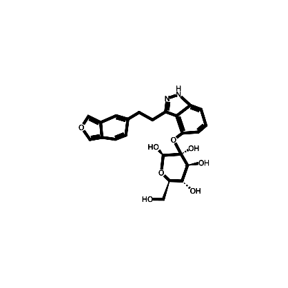 OC[C@H]1O[C@@H](O)[C@@](O)(Oc2cccc3[nH]nc(CCc4ccc5cocc5c4)c23)[C@@H](O)[C@@H]1O